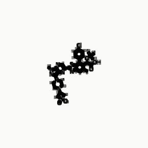 Cc1cc2nc(-c3cnc4c(n3)c(N3CCN(C5CS(=O)(=O)C5)CC3)nn4C)sc2c(-c2ccc(Cl)cc2)c1[C@H](OC(C)(C)C)C(=O)O